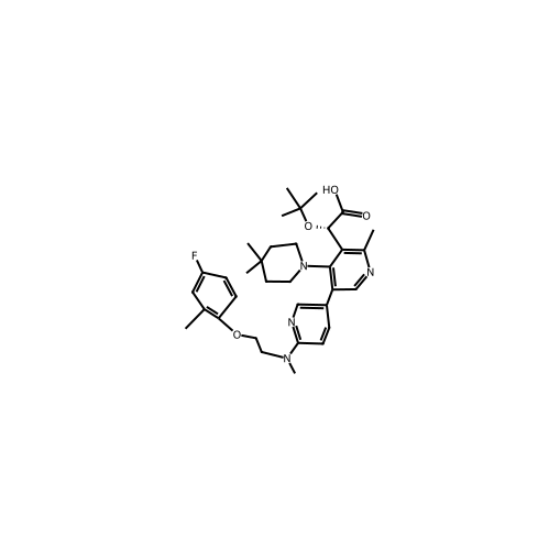 Cc1cc(F)ccc1OCCN(C)c1ccc(-c2cnc(C)c([C@H](OC(C)(C)C)C(=O)O)c2N2CCC(C)(C)CC2)cn1